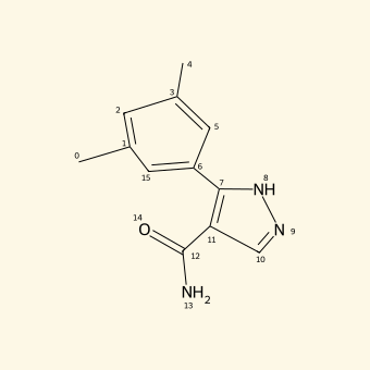 Cc1cc(C)cc(-c2[nH]ncc2C(N)=O)c1